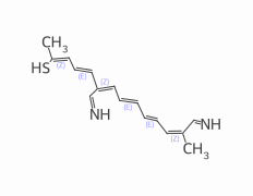 C/C(S)=C/C=C/C(C=N)=C/C=C/C=C/C=C(/C)C=N